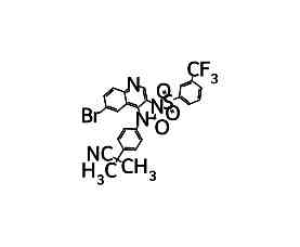 CC(C)(C#N)c1ccc(-n2c(=O)n(S(=O)(=O)c3cccc(C(F)(F)F)c3)c3cnc4ccc(Br)cc4c32)cc1